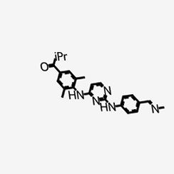 CN=Cc1ccc(Nc2nccc(Nc3c(C)cc(C(=O)C(C)C)cc3C)n2)cc1